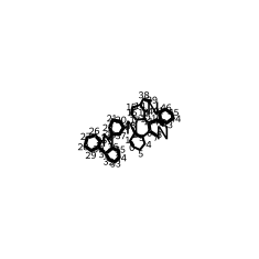 C1=CC2=C(CC1)c1cnccc1C1C3C(C=CC1N2c1cccc(-n2c4ccccc4c4ccccc42)c1)C=CN3c1ccccc1